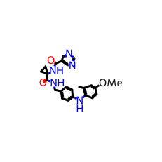 COc1ccc(Nc2ccc(CNC(=O)C3(NC(=O)c4cncnc4)CC3)cc2)c(C)c1